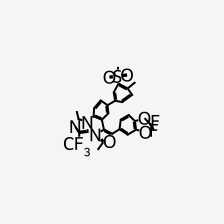 Cc1nc(-c2cc(-c3ccc(C)c(S(C)(=O)=O)c3)ccc2-n2cc(C(F)(F)F)nc2C)c(-c2ccc3c(c2)OC(F)(F)O3)o1